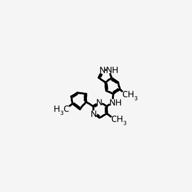 Cc1cccc(-c2ncc(C)c(Nc3cc4cn[nH]c4cc3C)n2)c1